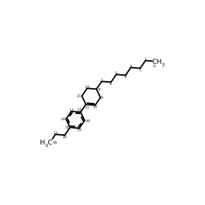 CCCCCCCCC1CC=C(c2ccc(CCC)cc2)CC1